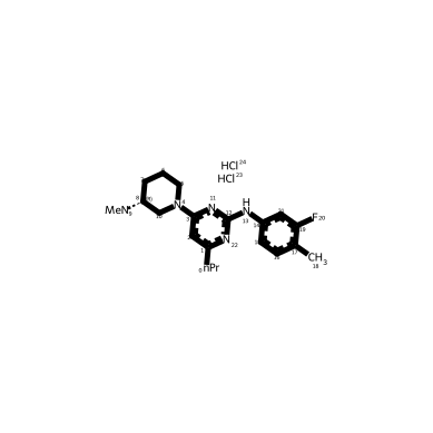 CCCc1cc(N2CCC[C@@H](NC)C2)nc(Nc2ccc(C)c(F)c2)n1.Cl.Cl